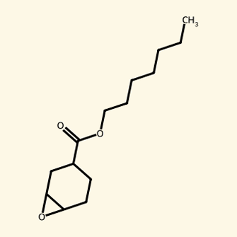 CCCCCCCOC(=O)C1CCC2OC2C1